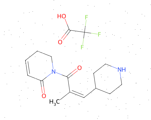 CC(=CC1CCNCC1)C(=O)N1CCC=CC1=O.O=C(O)C(F)(F)F